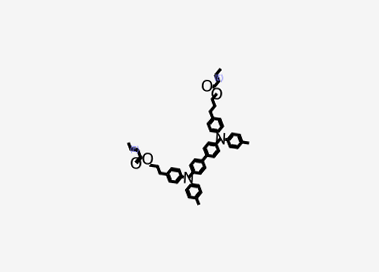 C/C=C/C(=O)OCCCc1ccc(N(c2ccc(C)cc2)c2ccc(-c3ccc(N(c4ccc(C)cc4)c4ccc(CCCOC(=O)/C=C/C)cc4)cc3)cc2)cc1